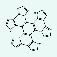 c1cc2c3cc[nH]c3c3c(c4c5[nH]ccc5c5cccn5c4c4c5[nH]ccc5c5cccn5c34)n2c1